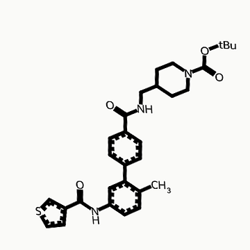 Cc1ccc(NC(=O)c2ccsc2)cc1-c1ccc(C(=O)NCC2CCN(C(=O)OC(C)(C)C)CC2)cc1